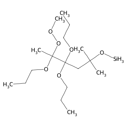 CCCOC(C)(OOC)C(CC(C)(C)O[SiH3])(OCCC)OCCC